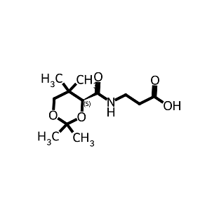 CC1(C)OCC(C)(C)[C@@H](C(=O)NCCC(=O)O)O1